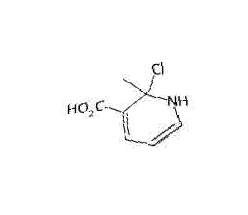 CC1(Cl)NC=CC=C1C(=O)O